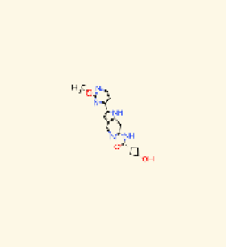 COc1nccc(-c2cc3cnc(NC(=O)[C@H]4C[C@@H](O)C4)cc3[nH]2)n1